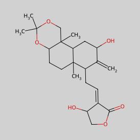 C=C1C(O)CC2C3(C)COC(C)(C)OC3CCC2(C)C1C/C=C1/C(=O)OCC1O